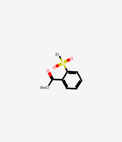 CCS(=O)(=O)c1ccccc1C(=O)OC